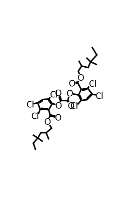 CCC(C)(C)CC(C)COC(=O)c1c(Cl)c(Cl)cc(Cl)c1OC(=O)C(=O)Oc1c(Cl)cc(Cl)c(Cl)c1C(=O)OCC(C)CC(C)(C)CC